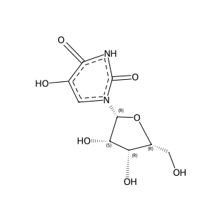 O=c1[nH]c(=O)n([C@@H]2O[C@H](CO)[C@H](O)[C@@H]2O)cc1O